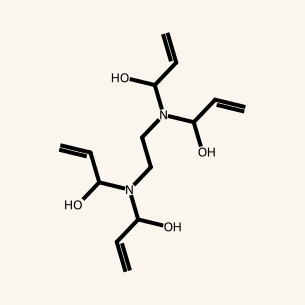 C=CC(O)N(CCN(C(O)C=C)C(O)C=C)C(O)C=C